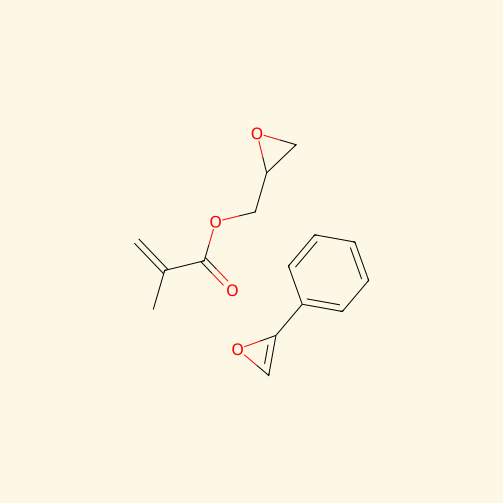 C1=C(c2ccccc2)O1.C=C(C)C(=O)OCC1CO1